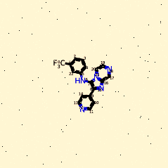 FC(F)(F)c1cccc(Nc2c(-c3ccncc3)nc3cnccn23)c1